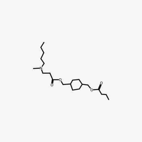 CCCCCN(C)CCC(=O)OCC1CCC(COC(=O)CCC)CC1